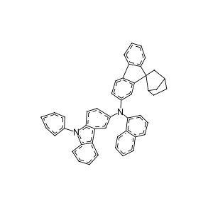 c1ccc(-n2c3ccccc3c3cc(N(c4ccc5c(c4)C4(CC6CCC4C6)c4ccccc4-5)c4cccc5ccccc45)ccc32)cc1